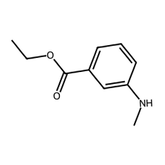 CCOC(=O)c1cccc(NC)c1